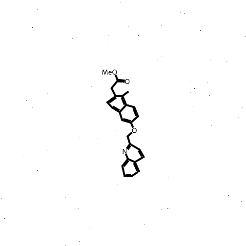 COC(=O)Cc1ccc2cc(OCc3ccc4ccccc4n3)ccc2c1C